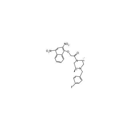 C[C@@H]1CN(Cc2ccc(F)cc2)[C@@H](C)CN1C(=O)COc1c([N+](=O)[O-])cc([N+](=O)[O-])c2ccccc12